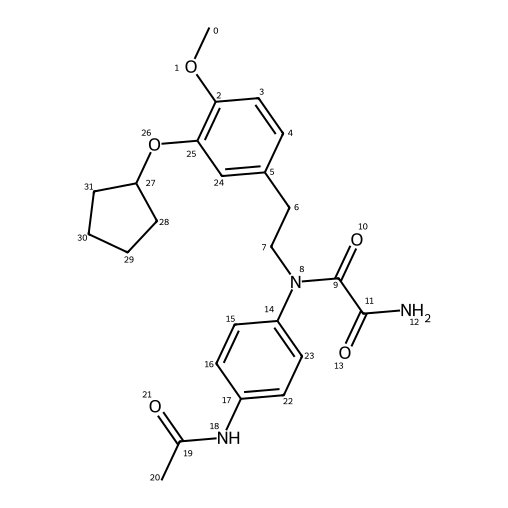 COc1ccc(CCN(C(=O)C(N)=O)c2ccc(NC(C)=O)cc2)cc1OC1CCCC1